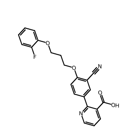 N#Cc1cc(-c2ncccc2C(=O)O)ccc1OCCCOc1ccccc1F